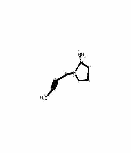 CC#CCN1CCC[C@H]1N